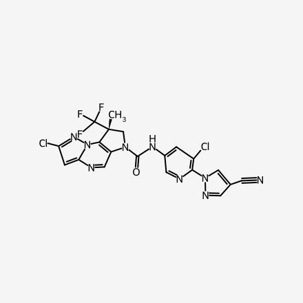 C[C@@]1(C(F)(F)F)CN(C(=O)Nc2cnc(-n3cc(C#N)cn3)c(Cl)c2)c2cnc3cc(Cl)nn3c21